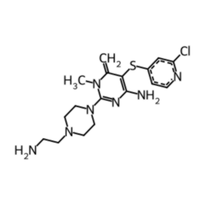 C=C1C(Sc2ccnc(Cl)c2)=C(N)N=C(N2CCN(CCN)CC2)N1C